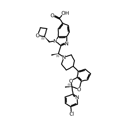 C[C@@H](c1nc2ccc(C(=O)O)cc2n1C[C@@H]1CCO1)N1CCC(c2cccc3c2O[C@@](C)(c2ccc(Cl)cn2)O3)CC1